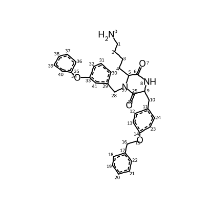 NCCCCC1C(=O)NC(Cc2ccc(OCc3ccccc3)cc2)C(=O)N1Cc1cccc(Oc2ccccc2)c1